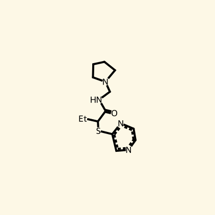 CCC(Sc1cnccn1)C(=O)NCN1CCCC1